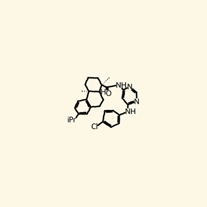 CC(C)c1ccc2c(c1)CC[C@H]1[C@](C)(C(=O)Nc3cc(Nc4ccc(Cl)cc4)ncn3)CCC[C@]21C